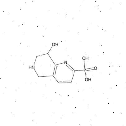 O=P(O)(O)c1ccc2c(n1)C(O)CNC2